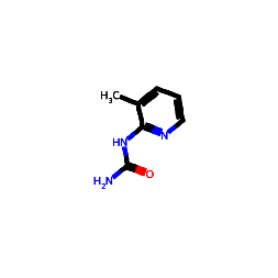 Cc1cccnc1NC(N)=O